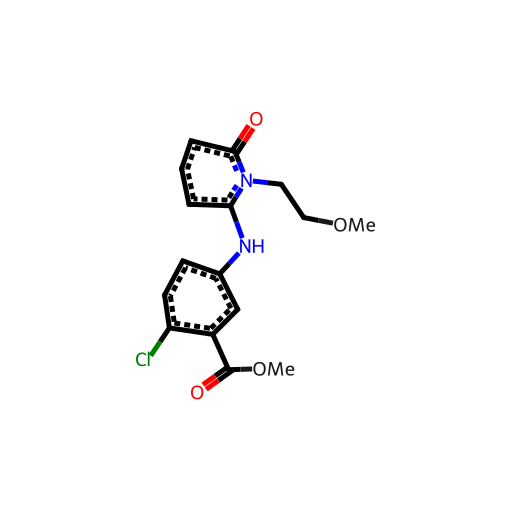 COCCn1c(Nc2ccc(Cl)c(C(=O)OC)c2)cccc1=O